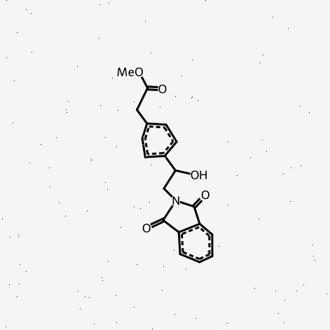 COC(=O)Cc1ccc(C(O)CN2C(=O)c3ccccc3C2=O)cc1